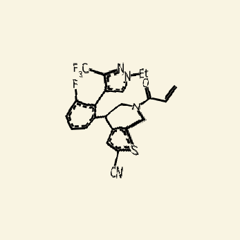 C=CC(=O)N1Cc2sc(C#N)cc2C(c2cccc(F)c2-c2cn(CC)nc2C(F)(F)F)C1